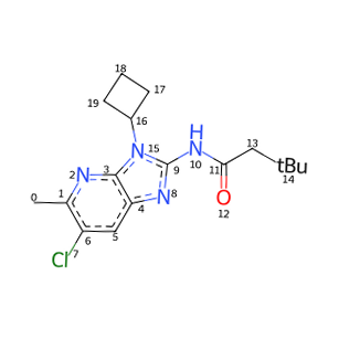 Cc1nc2c(cc1Cl)nc(NC(=O)CC(C)(C)C)n2C1CCC1